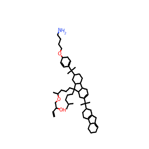 C=CC(O)COC(C)CCCC1(CCCC(C)C)C2CC(C(C)(C)C3CCC4=C(CC5=CCCCC54)C3)=CCC2C2CCC(C(C)(C)C3=CCC(OCCCCN)C=C3)CC21